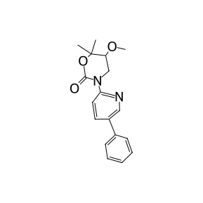 COC1CN(c2ccc(-c3ccccc3)cn2)C(=O)OC1(C)C